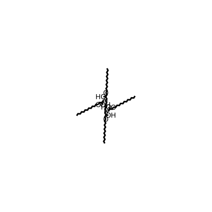 CCCCCCCCCCCCOCC(O)CN(CCCCN(CC(O)COCCCCCCCCCCCC)CC(O)COCCCCCCCCCCCC)CC(O)COCCCCCCCCCCCC